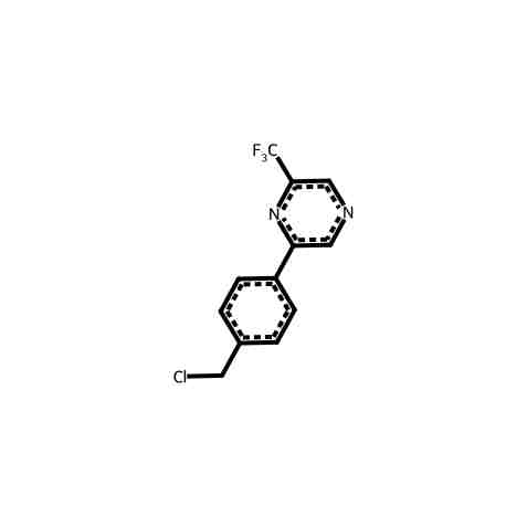 FC(F)(F)c1cncc(-c2ccc(CCl)cc2)n1